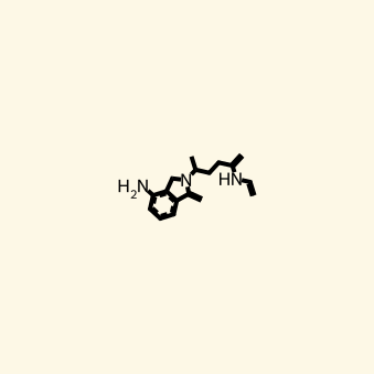 C=CNC(=C)CCC(C)N1Cc2c(N)cccc2C1=C